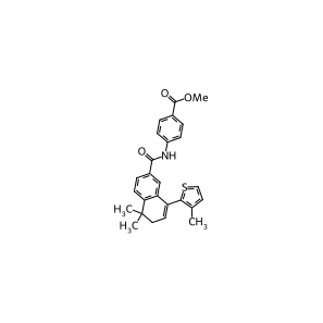 COC(=O)c1ccc(NC(=O)c2ccc3c(c2)C(c2sccc2C)=CCC3(C)C)cc1